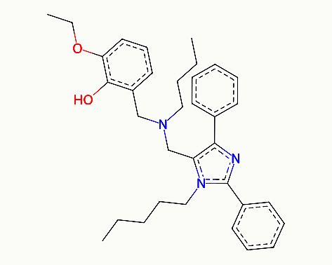 CCCCCn1c(-c2ccccc2)nc(-c2ccccc2)c1CN(CCCC)Cc1cccc(OCC)c1O